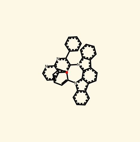 C1=CCCC(n2c3ccccc3c3ccc4c5ccccc5n(-c5nc6nccnc6nc5-c5ccccc5)c4c32)=C1